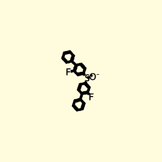 [O-][S+](c1ccc(-c2ccccc2)c(F)c1)c1ccc(-c2ccccc2)c(F)c1